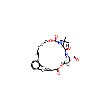 CC(C)(C)[C@@H]1NC(=O)OCCC/C=C/c2cccc3c2CCC(C3)C(=O)O[C@@H]2C[C@@H](C=O)N(C2)C1=O